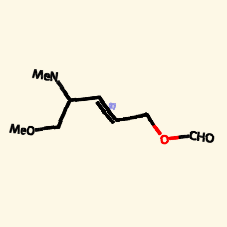 CNC(/C=C/COC=O)COC